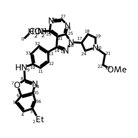 CC(=O)O.CCc1ccc2oc(Nc3ccc(-c4nn(C5CCN(CCOC)C5)c5ncnc(N)c45)cc3)nc2c1